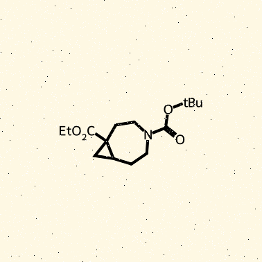 CCOC(=O)C12CCN(C(=O)OC(C)(C)C)CCC1C2